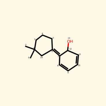 CC1(C)CCCC(=C2C=CC=CC2O)C1